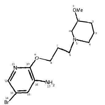 COC1CCCN(CCCOc2ncc(Br)cc2N)C1